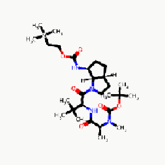 C[C@@H](C(=O)N[C@H](C(=O)N1CC[C@H]2CC[C@H](NC(=O)OCC[Si](C)(C)C)[C@H]21)C(C)(C)C)N(C)C(=O)OC(C)(C)C